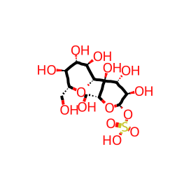 O=S(=O)(O)O[C@@H]1O[C@H](CO)[C@](O)([C@@H]2O[C@H](CO)[C@@H](O)[C@H](O)[C@H]2O)[C@H](O)[C@H]1O